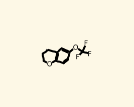 FC(F)(F)Oc1ccc2c(c1)[C]CCO2